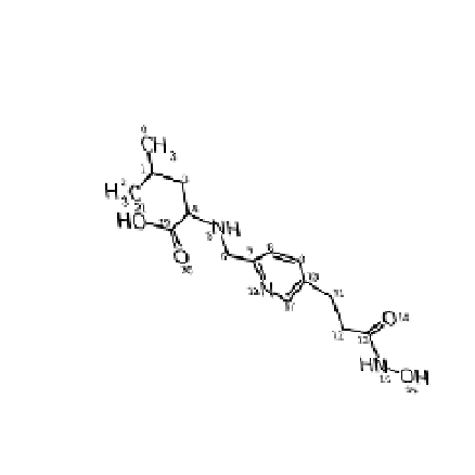 CC(C)CC(NCc1ccc(CCC(=O)NO)cn1)C(=O)O